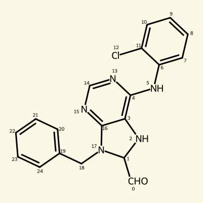 O=CC1Nc2c(Nc3ccccc3Cl)ncnc2N1Cc1ccccc1